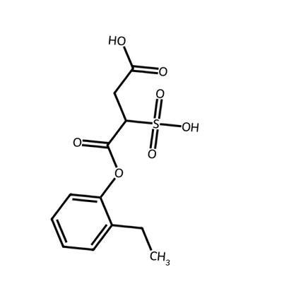 CCc1ccccc1OC(=O)C(CC(=O)O)S(=O)(=O)O